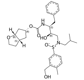 Cc1ccc([S+]([O-])N(CC(C)C)C[C@@H](O)[C@H](Cc2ccccc2)NC(=O)O[C@@H]2C[C@@H]3CCO[C@@H]3C2)cc1CO